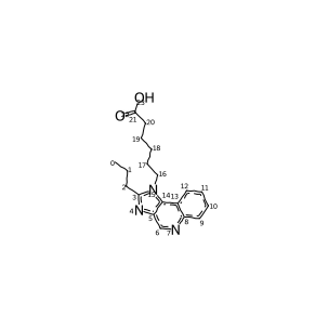 CCCc1nc2cnc3ccccc3c2n1CCCCCC(=O)O